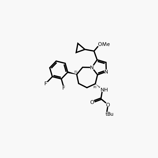 COC(c1cnc2n1C[C@H](c1cccc(F)c1F)CC[C@H]2NC(=O)OC(C)(C)C)C1CC1